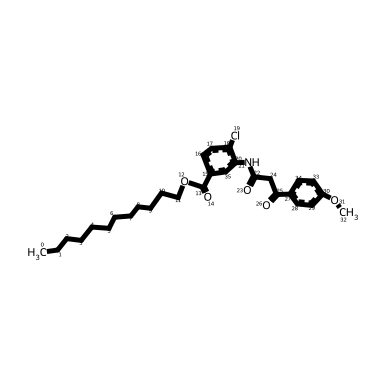 CCCCCCCCCCCCOC(=O)c1ccc(Cl)c(NC(=O)CC(=O)c2ccc(OC)cc2)c1